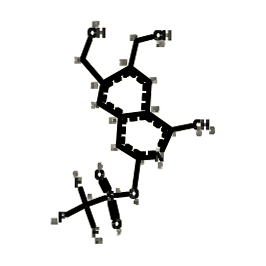 Cc1nc(OS(=O)(=O)C(F)(F)F)cc2cc(CO)c(CO)cc12